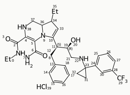 CCNC(=O)C1=C(C(N)=O)N2C([C@H](Cc3ccccc3)[C@@H](O)CNC3(c4cccc(C(F)(F)F)c4)CC3)=CC(CC)C2CN1.Cl